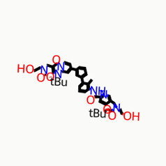 Cc1c(NC(=O)c2ccc(CN(CCO)C(=O)OC(C)(C)C)cn2)cccc1-c1cccc(-c2ccn3c(=O)c(CN(CCO)C(=O)OC(C)(C)C)cnc3c2)c1